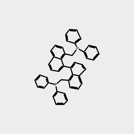 c1ccc(P(Cc2cccc3cccc(-c4cccc5cccc(CP(c6ccccc6)c6ccccc6)c45)c23)c2ccccc2)cc1